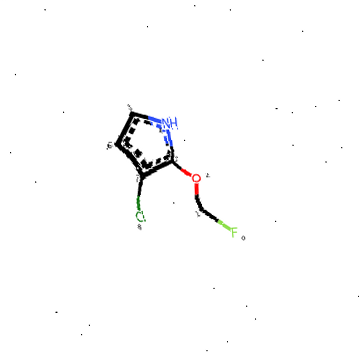 FCOc1[nH]ccc1Cl